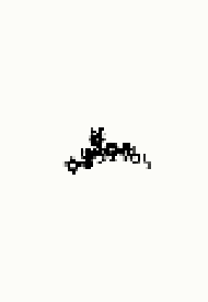 Cn1nnc(-c2ccc(C(C(=O)Nc3nnc(C4CCCC4)s3)C3CCC(F)(F)C3)cc2)n1